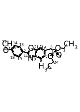 CCOP(=O)(Cc1ccc2nc(-c3ccc(OC)cc3)oc2c1)OCC